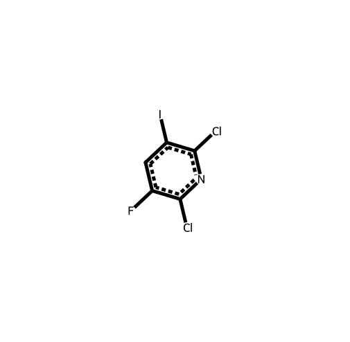 Fc1cc(I)c(Cl)nc1Cl